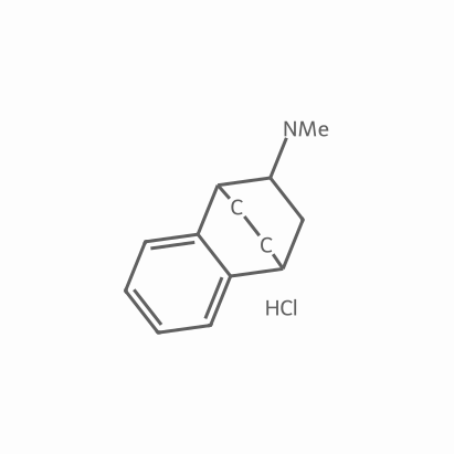 CNC1CC2CCC1c1ccccc12.Cl